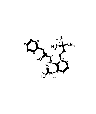 CC(C)(C)CCN1CC=CC(OC(=O)O)=C1SCC(=O)Cc1ccccc1